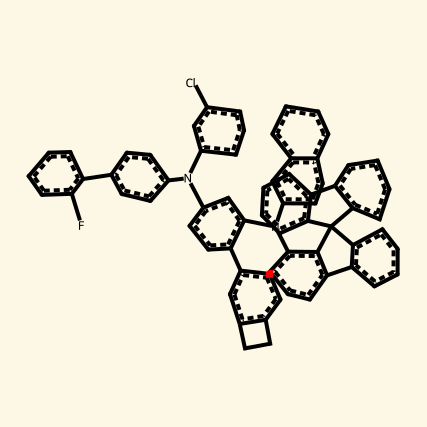 Fc1ccccc1-c1ccc(N(c2cccc(Cl)c2)c2ccc(-c3ccc4c(c3)CC4)c(N(c3ccc4ccccc4c3)c3cccc4c3C3(c5ccccc5-c5ccccc53)c3ccccc3-4)c2)cc1